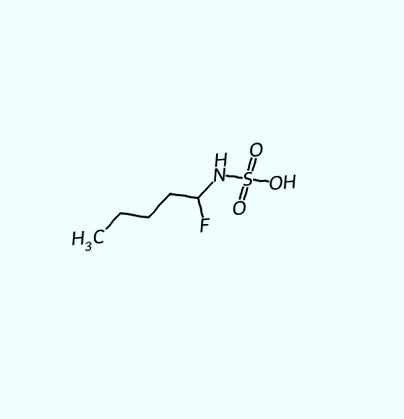 CCCCC(F)NS(=O)(=O)O